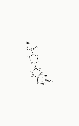 CC(C)(C)OC(=O)N1CCC(c2ccc3c(c2)NC(=O)NC3)CC1